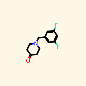 O=C1CCN(Cc2cc(F)cc(F)c2)CC1